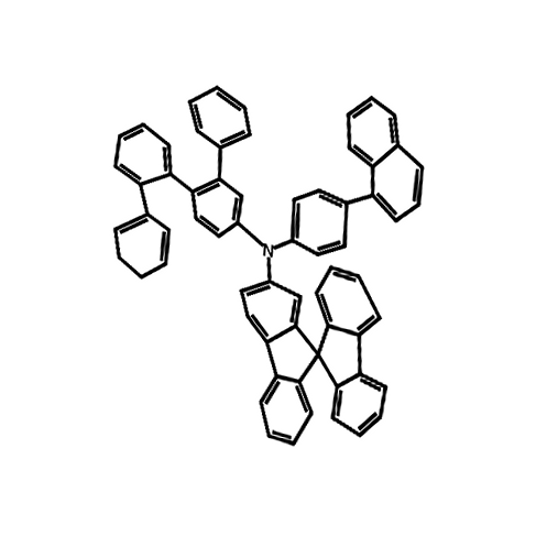 C1=CC(c2ccccc2-c2ccc(N(c3ccc(-c4cccc5ccccc45)cc3)c3ccc4c(c3)C3(c5ccccc5-c5ccccc53)c3ccccc3-4)cc2-c2ccccc2)=CCC1